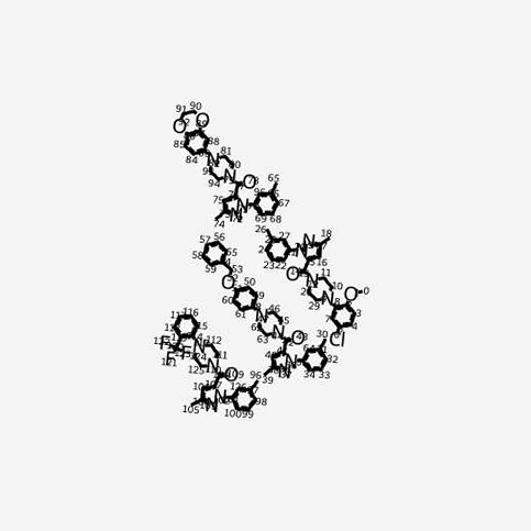 COc1ccc(Cl)cc1N1CCN(C(=O)c2cc(C)nn2-c2cccc(C)c2)CC1.Cc1cccc(-n2nc(C)cc2C(=O)N2CCN(c3ccc(OCc4ccccc4)cc3)CC2)c1.Cc1cccc(-n2nc(C)cc2C(=O)N2CCN(c3ccc4c(c3)OCCO4)CC2)c1.Cc1cccc(-n2nc(C)cc2C(=O)N2CCN(c3ccccc3C(F)(F)F)CC2)c1